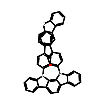 c1ccc(-c2ccc(-n3c4ccccc4c4ccc5c6ccccc6n(-c6ccc(-c7ccc8sc9ccccc9c8c7)cc6)c5c43)cc2)cc1